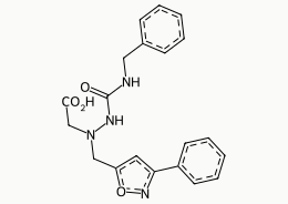 O=C(O)CN(Cc1cc(-c2ccccc2)no1)NC(=O)NCc1ccccc1